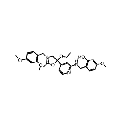 CCOC(CNCc1ccc(OC)cc1OC)(OCC)c1ccnc(NCc2ccc(OC)cc2O)c1